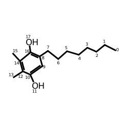 CCCCCCCCc1cc(O)c(C)c(C)c1O